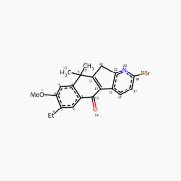 CCc1cc2c(cc1OC)C(C)(C)C1=C(C2=O)c2ccc(Br)nc2C1